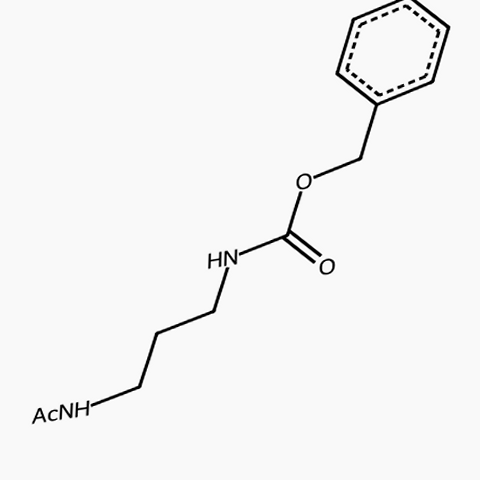 CC(=O)NCCCNC(=O)OCc1ccccc1